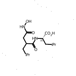 CC(C)CC(CC(=O)NO)C(=O)N[C@@H](CC(C)C)C(=O)O